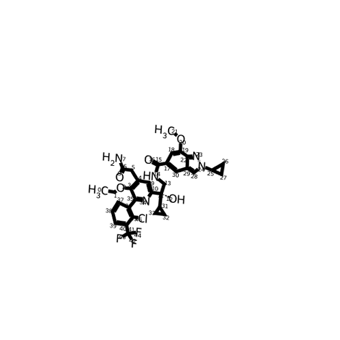 CCOc1c(CC(N)=O)cc([C@@](O)(CNC(=O)c2cc(OC)c3nn(C4CC4)cc3c2)C2CC2)nc1-c1cccc(C(F)(F)F)c1Cl